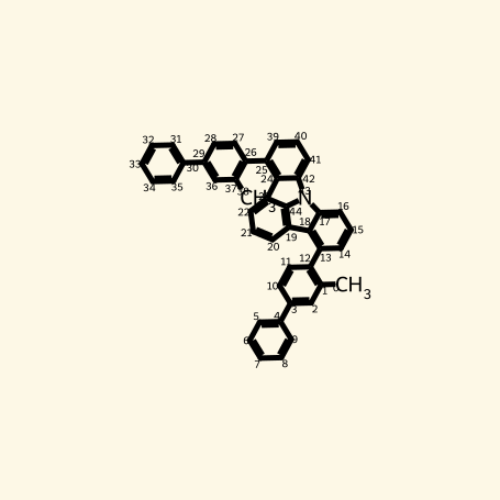 Cc1cc(-c2ccccc2)ccc1-c1cccc2c1c1cccc3c4c(-c5ccc(-c6ccccc6)cc5C)cccc4n2c13